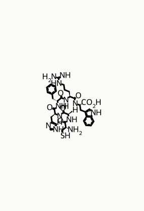 C[C@@H](NC(=O)[C@H](N)CS)C(=O)N[C@@H](Cc1c[nH]cn1)C(=O)N[C@H](Cc1ccccc1)C(=O)N[C@@H](CCCNC(=N)N)C(=O)N[C@@H](Cc1c[nH]c2ccccc12)C(=O)O